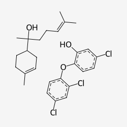 CC(C)=CCCC(C)(O)C1CC=C(C)CC1.Oc1cc(Cl)ccc1Oc1ccc(Cl)cc1Cl